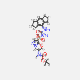 CN(C(=O)OC(C)(C)C)C1COc2c(S(=O)(=O)NC(=O)Nc3c4c(cc5c3CCC5)CCC4)cnn2C1